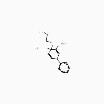 CC(C)SC1=CC(c2ccccc2)C=CC1(OCCBr)C(=O)O